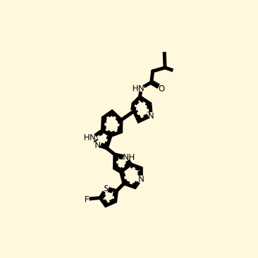 CC(C)CC(=O)Nc1cncc(-c2ccc3[nH]nc(-c4cc5c(-c6ccc(F)s6)cncc5[nH]4)c3c2)c1